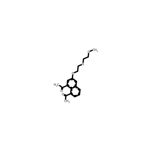 COCCOCCOc1cc(C(C)=O)c2c(C(C)=O)cccc2c1